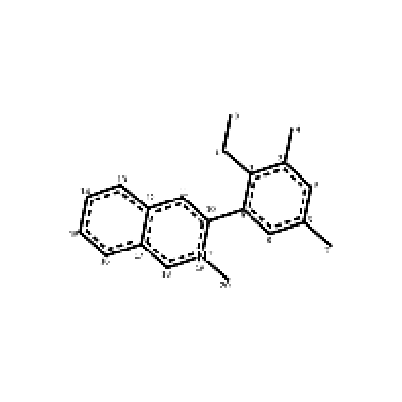 CCc1c(C)cc(C)cc1-c1cc2ccccc2c[n+]1C